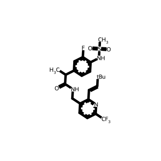 CC(C(=O)NCc1ccc(C(F)(F)F)nc1C=CC(C)(C)C)c1ccc(NS(C)(=O)=O)c(F)c1